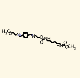 COCC/N=C/c1ccc(/C=N/CCOC(=O)NCCCCCCNC(=O)OC)cc1